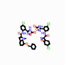 Cn1c(C(=O)Nc2ccc(Cl)cc2-c2noc(=O)[nH]2)cc2cccc(OCc3ccccc3)c21.O=C(Nc1ccc(Cl)cc1-c1noc(=O)[nH]1)c1noc2cc(Cl)ccc12